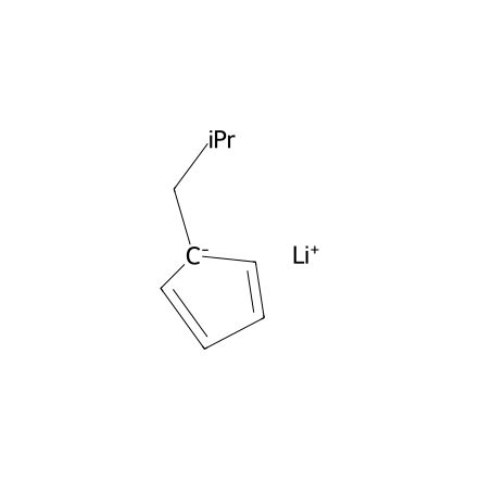 CC(C)C[c-]1cccc1.[Li+]